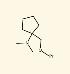 CC(C)OCC1(N(C)C)CCCC1